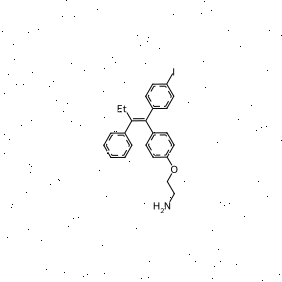 CC/C(=C(\c1ccc(I)cc1)c1ccc(OCCN)cc1)c1ccccc1